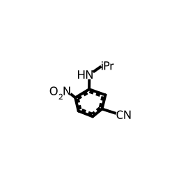 CC(C)Nc1cc(C#N)ccc1[N+](=O)[O-]